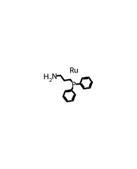 NCCCP(c1ccccc1)c1ccccc1.[Ru]